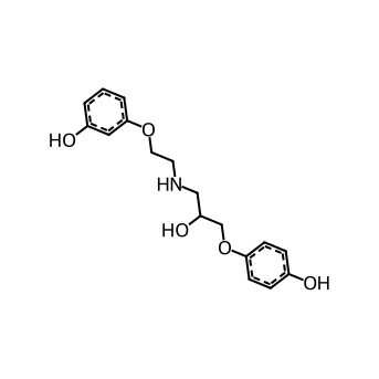 Oc1ccc(OCC(O)CNCCOc2cccc(O)c2)cc1